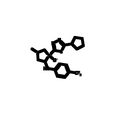 CN1CC(Nc2ccc(C(F)(F)F)cc2)[N+]([O-])(c2nnc(C3CCCC3)s2)C1